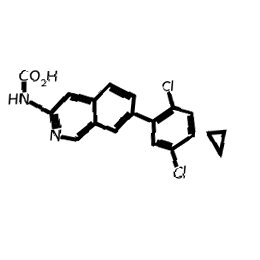 C1CC1.O=C(O)Nc1cc2ccc(-c3cc(Cl)ccc3Cl)cc2cn1